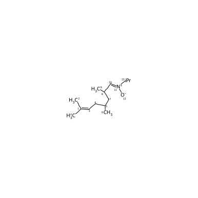 CC(C)=CCC(C)CC(C)C=[N+]([O-])C(C)C